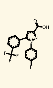 O=C(O)c1cc(-c2cccc(C(F)(F)F)c2)n(-c2ccc(F)cc2)n1